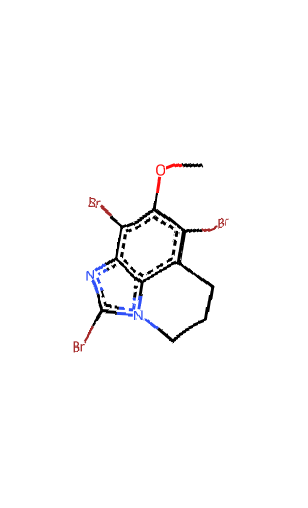 COc1c(Br)c2c3c(nc(Br)n3CCC2)c1Br